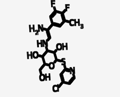 Cc1cc(/C(N)=C/NC2C(O)C(CO)OC(Sc3cc(Cl)ccn3)C2O)cc(F)c1F